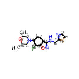 C[C@@H]1CN(c2[c]cc3c(NCc4nccs4)noc3c2F)C[C@H](C)O1